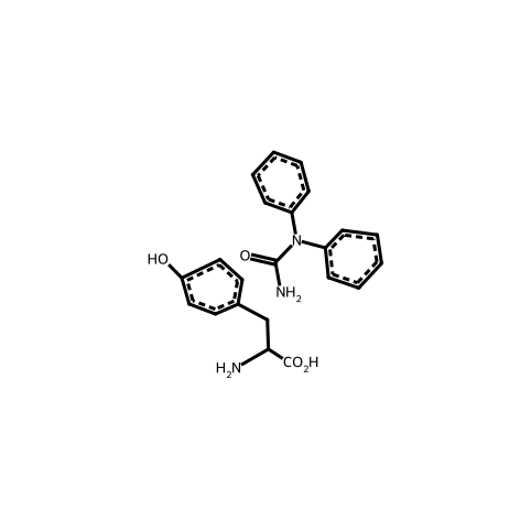 NC(=O)N(c1ccccc1)c1ccccc1.NC(Cc1ccc(O)cc1)C(=O)O